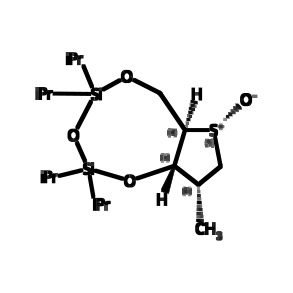 CC(C)[Si]1(C(C)C)OC[C@@H]2[C@@H](O[Si](C(C)C)(C(C)C)O1)[C@@H](C)C[S@@+]2[O-]